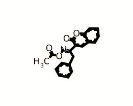 CC(=O)O/N=C(\Cc1ccccc1)c1cc2ccccc2oc1=O